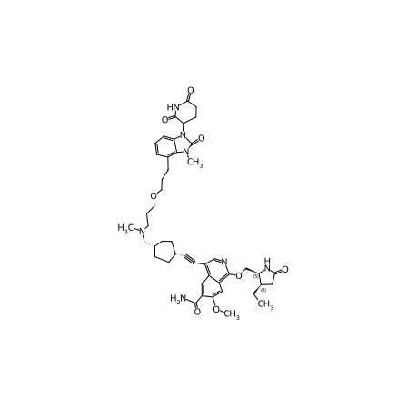 CC[C@@H]1CC(=O)N[C@@H]1COc1ncc(C#C[C@H]2CC[C@@H](CN(C)CCCOCCCc3cccc4c3n(C)c(=O)n4C3CCC(=O)NC3=O)CC2)c2cc(C(N)=O)c(OC)cc12